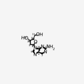 Nc1ncc2ncn([C@H]3C[C@@H](O)[C@@H](CO)O3)c2n1